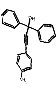 Cc1ccc(C#CC(O)(c2ccccc2)c2ccccc2)cc1